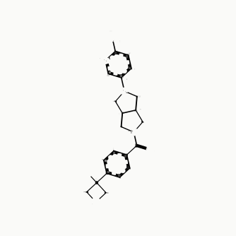 O=C(c1ccc(C2(O)COC2)cc1)N1CC2CN(c3ccc(C(F)(F)F)nc3)CC2C1